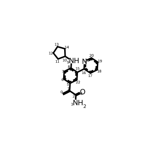 C=C(C(N)=O)c1ccc(NC2CCCC2)c(-c2ccccn2)c1